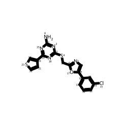 Nc1nc(SCc2ncc(-c3cccc(Cl)c3)o2)nc(-c2ccsc2)n1